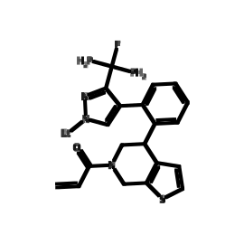 C=CC(=O)N1Cc2sccc2C(c2ccccc2-c2cn(CC)nc2C(F)(P)P)C1